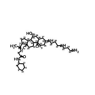 C[C@H](CCC(=O)NC1CCCCC1)[C@H]1CCC2C3C(CC[C@@]21C)[C@@]1(C)CC[C@H](NCCCNCCCN)CC1C[C@H]3O